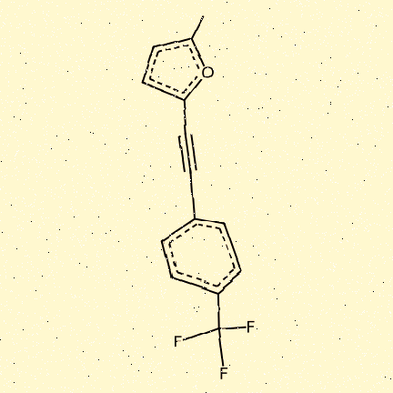 Cc1ccc(C#Cc2ccc(C(F)(F)F)cc2)o1